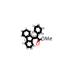 COC(=O)C(=C1c2ccccc2-c2ccccc21)c1ccccc1